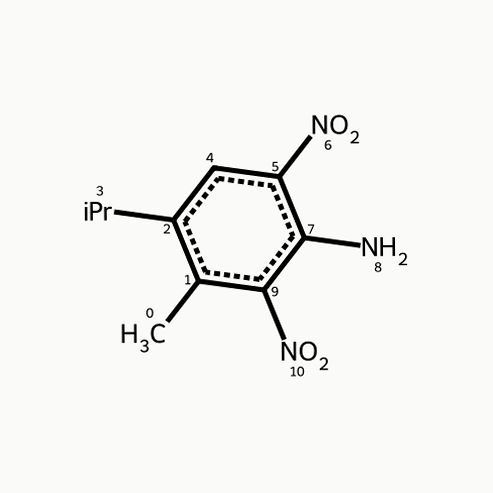 Cc1c(C(C)C)cc([N+](=O)[O-])c(N)c1[N+](=O)[O-]